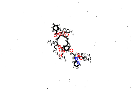 COCOc1cc(OCCCN(C(=O)OC(C)(C)C)c2ccccn2)cc2c1C(=O)O[C@@H](C)[C@H](C)/C=C\C(OC(=O)c1ccccc1)C1OC(C)(C)OC1C/C=C/2